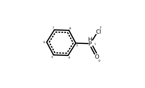 O=[PH](Cl)c1ccccc1